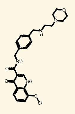 CCOc1cccc2c(=O)c(C(=O)NCc3ccc(CNCCN4CCOCC4)cc3)c[nH]c12